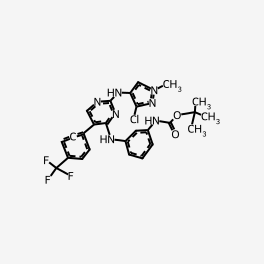 Cn1cc(Nc2ncc(-c3ccc(C(F)(F)F)cc3)c(Nc3cccc(NC(=O)OC(C)(C)C)c3)n2)c(Cl)n1